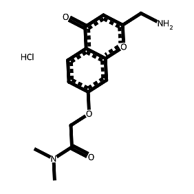 CN(C)C(=O)COc1ccc2c(=O)cc(CN)oc2c1.Cl